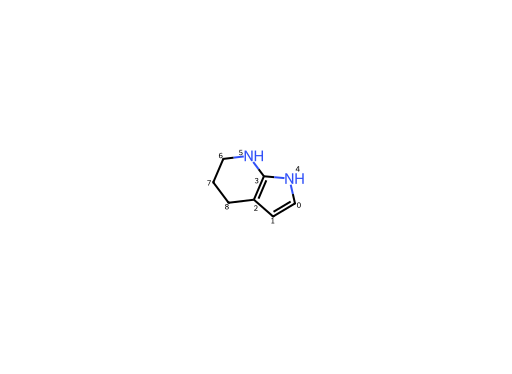 c1cc2c([nH]1)NCCC2